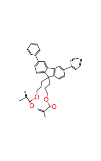 C=C(C)C(=O)OCCCC1(CCCOC(=O)C(=C)C)c2ccc(-c3ccccc3)cc2-c2cc(-c3ccccc3)ccc21